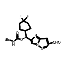 CC(C)(C)NC(=O)O[C@H](c1cn2ncc(C=O)cc2n1)C1CCC(F)(F)CC1